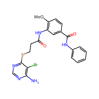 COc1ccc(C(=O)Nc2ccccc2)cc1NC(=O)CCSc1ncnc(N)c1Br